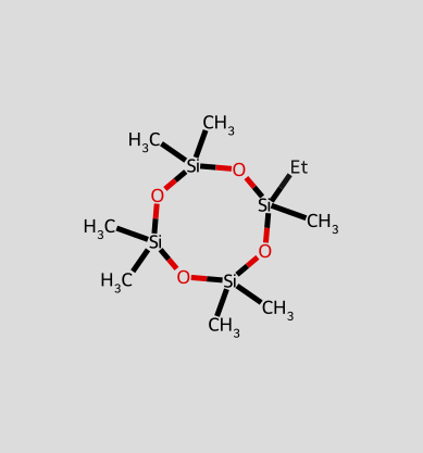 CC[Si]1(C)O[Si](C)(C)O[Si](C)(C)O[Si](C)(C)O1